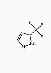 FC(F)(F)C1C=[C]NN1